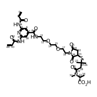 C=CC(=O)Nc1cc(C(=O)NCCOCCOCCN2C(=O)CC(SC(C)(C)CC(=O)N(C)[C@@H](C)C(=O)O)C2=O)cc(NC(=O)C=C)n1